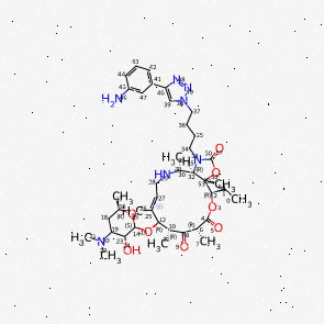 CC[C@H]1OC(=O)[C@H](C)C(=O)[C@H](C)[C@@H](O[C@@H]2O[C@H](C)CC(N(C)C)C2O)/C(C)=C/CN[C@H](C)[C@H]2N(CCCCn3cc(-c4cccc(N)c4)nn3)C(=O)O[C@]12C